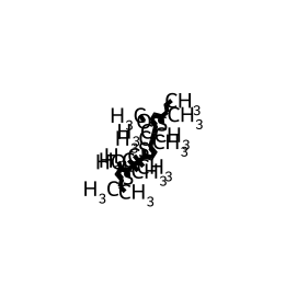 CCC(C)c1cc(OC)c(C(C)(C)C(C)(C)c2ccc(C(C)(C)C(C)(C)c3sc(C(C)C)cc3O)s2)s1